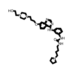 O=C(NCCCCN1CCCC1)Nc1cccc(Nc2ncnc3cc(OCCCN4CCN(CCO)CC4)ccc23)c1